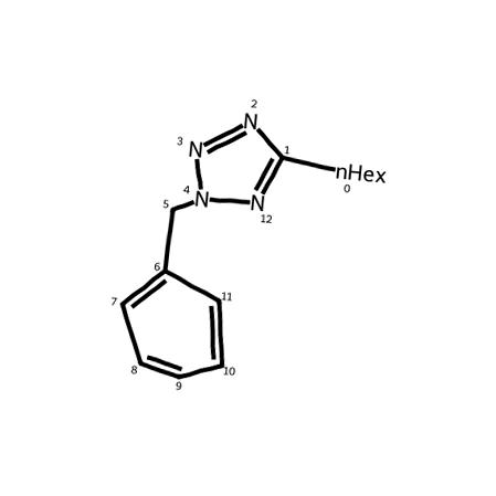 CCCCCCc1nnn(Cc2ccccc2)n1